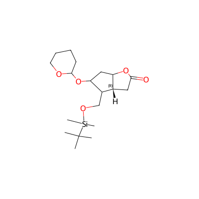 CC(C)(C)[Si](C)(C)OCC1C(OC2CCCCO2)CC2OC(=O)C[C@@H]21